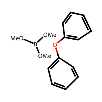 COB(OC)OC.c1ccc(Oc2ccccc2)cc1